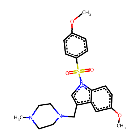 COc1ccc(S(=O)(=O)n2cc(CN3CCN(C)CC3)c3cc(OC)ccc32)cc1